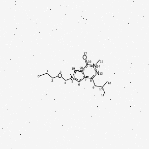 CCCOCn1cc2c(CC(C)C)nn(C)c(=O)c2c1